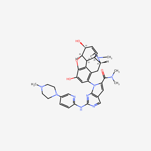 CN1CCN(c2ccc(Nc3ncc4cc(C(=O)N(C)C)n(-c5cc(O)c6c7c5C[C@@H]5[C@@H]8C=C[C@H](O)[C@H](O6)[C@]78CCN5C)c4n3)nc2)CC1